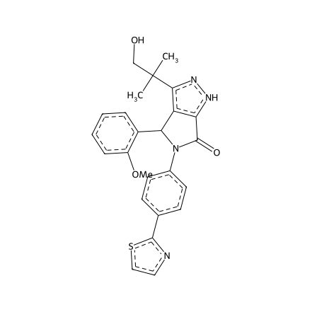 COc1ccccc1C1c2c(C(C)(C)CO)n[nH]c2C(=O)N1c1ccc(-c2nccs2)cc1